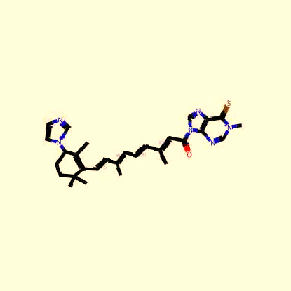 CC1=C(/C=C/C(C)=C/C=C/C(C)=C/C(=O)n2cnc3c(=S)n(C)cnc32)C(C)(C)CCC1n1ccnc1